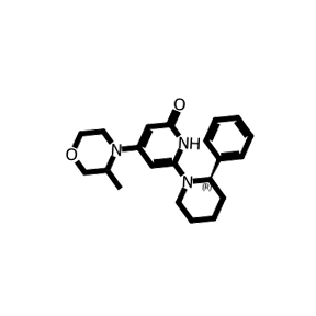 CC1COCCN1c1cc(N2CCCC[C@@H]2c2ccccc2)[nH]c(=O)c1